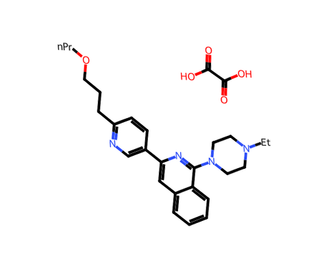 CCCOCCCc1ccc(-c2cc3ccccc3c(N3CCN(CC)CC3)n2)cn1.O=C(O)C(=O)O